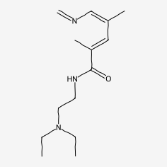 C=N/C=C(C)\C=C(/C)C(=O)NCCN(CC)CC